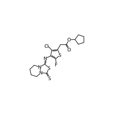 O=C(Cc1sc(F)c(N=c2sc(=S)n3n2CCCC3)c1Cl)OC1CCCC1